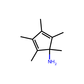 CC1=C(C)C(C)(N)C(C)=C1C